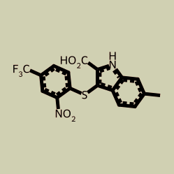 Cc1ccc2c(Sc3ccc(C(F)(F)F)cc3[N+](=O)[O-])c(C(=O)O)[nH]c2c1